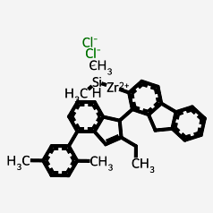 CCC1=Cc2c(-c3cc(C)ccc3C)cccc2C1c1[c]([Zr+2][SiH](C)C)ccc2c1Cc1ccccc1-2.[Cl-].[Cl-]